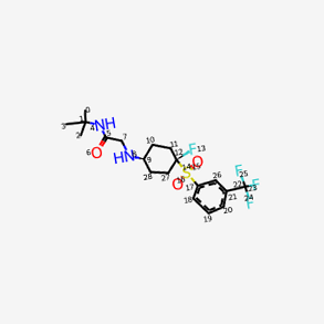 CC(C)(C)NC(=O)CN[C@H]1CC[C@](F)(S(=O)(=O)c2cccc(C(F)(F)F)c2)CC1